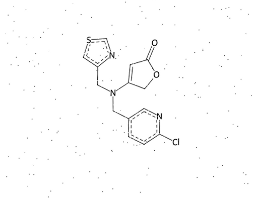 O=C1C=C(N(Cc2ccc(Cl)nc2)Cc2cscn2)CO1